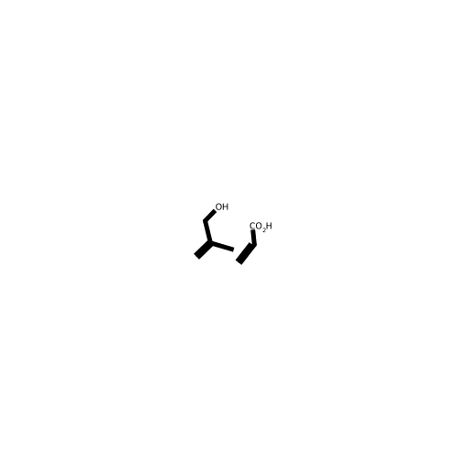 C=C(C)CO.C=CC(=O)O